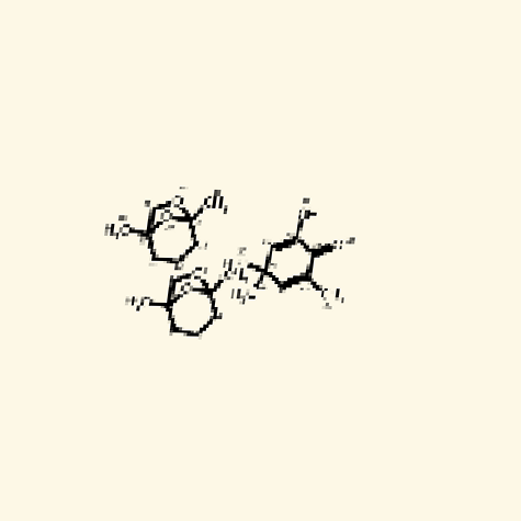 CC12CCCC(C)(OC1)O2.CC12CCCC(C)(OC1)O2.CC1=CC(C)(C)C=C(O)C1=O